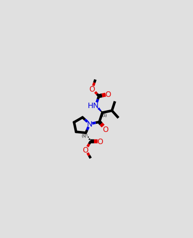 COC(=O)N[C@H](C(=O)N1CCC[C@H]1C(=O)OC)C(C)C